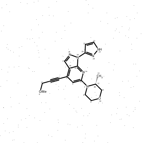 COCC#Cc1cc(N2CCOC[C@H]2C)nc2c1cnn2-c1cc[nH]n1